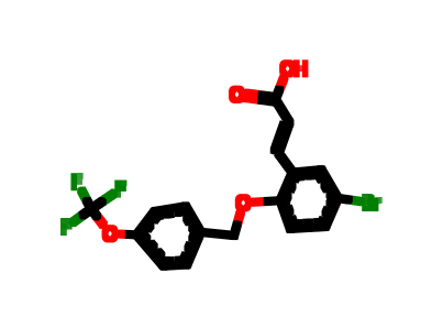 O=C(O)C=Cc1cc(Br)ccc1OCc1ccc(OC(F)(F)F)cc1